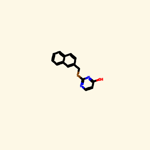 Oc1ccnc(SCc2ccc3ccccc3c2)n1